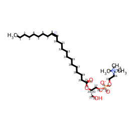 CCCCCCCC/C=C\CCCCCCCCCCCC(=O)O[C@@H](CO)COP(=O)([O-])OCC[N+](C)(C)C